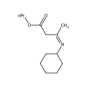 CCCOC(=O)C/C(C)=N\C1CCCCC1